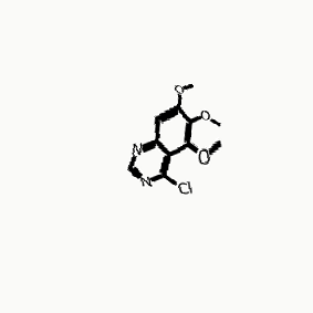 COc1cc2ncnc(Cl)c2c(OC)c1OC